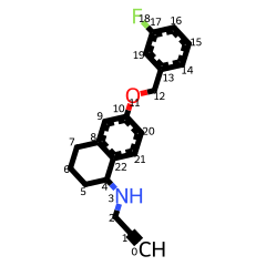 C#CCNC1CCCc2cc(OCc3cccc(F)c3)ccc21